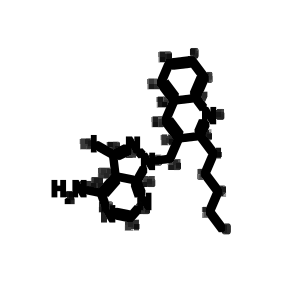 CCCCCc1nc2ccccc2cc1Cn1nc(I)c2c(N)ncnc21